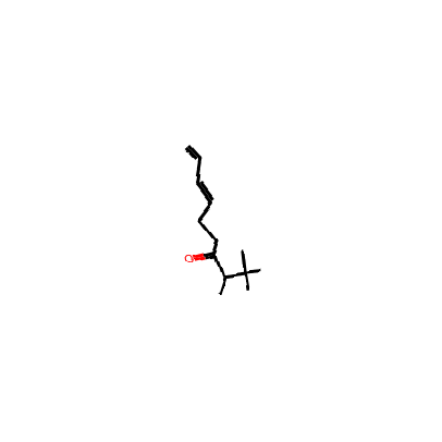 C=CC=CCCC(=O)C(C)C(C)(C)C